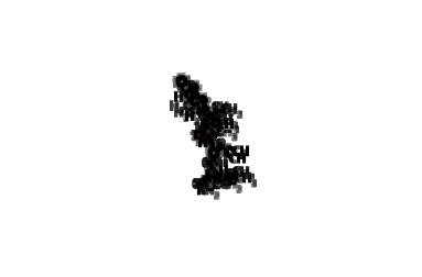 C#CCN(CC#C)C(=O)c1cc(NC(=O)[C@H](CCCNC(N)=O)NC(=O)[C@@H](NC(=O)OC(C)(C)C)C(C)C)ccc1COC(=O)N1[C@@H]2CC[C@@H](C2)[C@H]1C(=O)N[C@H](C(=O)N(C)[C@@H]([C@@H](C)CC)[C@@H](CC(=O)N1CCC[C@H]1[C@H](OC)[C@@H](C)C(=O)N[C@@H](Cc1ccccc1)c1nccs1)OC)C(C)C